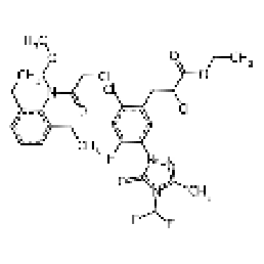 CCOC(=O)C(Cl)Cc1cc(-n2nc(C)n(C(F)F)c2=O)c(F)cc1Cl.CCc1cccc(CC)c1N(COC)C(=O)CCl